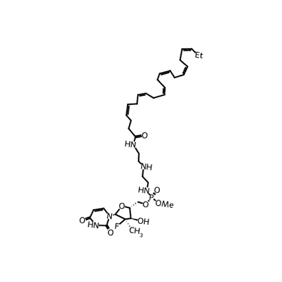 CC/C=C\C/C=C\C/C=C\C/C=C\C/C=C\C/C=C\CCC(=O)NCCNCCNP(=O)(OC)OC[C@H]1O[C@@H](n2ccc(=O)[nH]c2=O)[C@](C)(F)[C@@H]1O